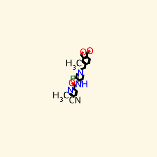 Cc1nc(C(=O)N[C@@H]2CCN(CCc3ccc4c(c3C)COC4=O)C[C@@H]2F)ccc1C#N